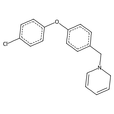 Clc1ccc(Oc2ccc(CN3C=CC=CC3)cc2)cc1